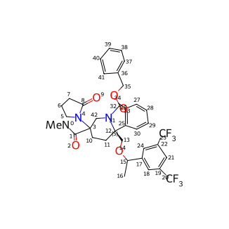 CNC(=O)C1(N2CCCC2=O)CC[C@@](COC(C)c2cc(C(F)(F)F)cc(C(F)(F)F)c2)(c2ccccc2)N(C(=O)OCc2ccccc2)C1